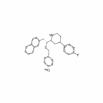 Cl.Fc1ccc(C2CCNC([C@@H](Cc3ccc4ccccc4c3)OCc3ccccc3)C2)cc1